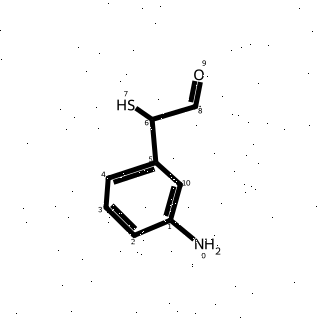 Nc1cccc(C(S)[C]=O)c1